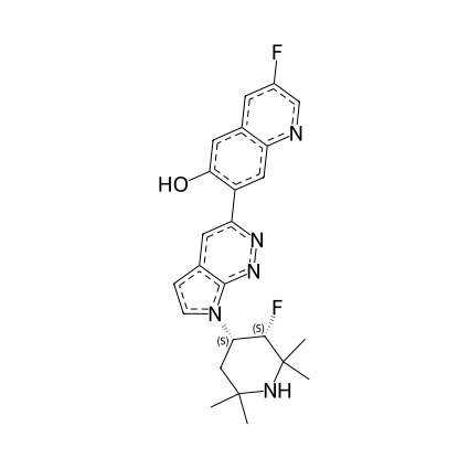 CC1(C)C[C@H](n2ccc3cc(-c4cc5ncc(F)cc5cc4O)nnc32)[C@H](F)C(C)(C)N1